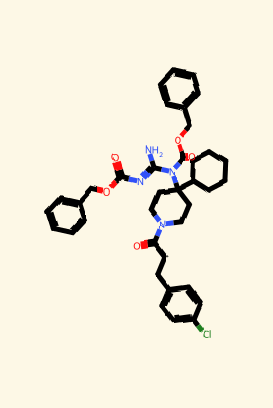 N/C(=N\C(=O)OCc1ccccc1)N(C(=O)OCc1ccccc1)C1(C2CCCCC2)CCN(C(=O)[CH]Cc2ccc(Cl)cc2)CC1